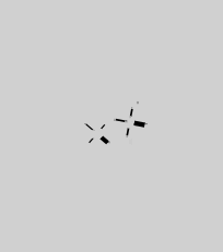 OP(O)(=S)OP(O)(=S)S